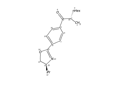 CCCCCC[C@H](C)C(=O)c1ccc(C2=N[C@@H](C(C)C)CO2)cc1